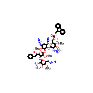 CCCCOC1C(N=[N+]=[N-])CC(N=[N+]=[N-])C(OC2OC(CNC(=O)OCC3c4ccccc4-c4ccccc43)C(OCCCC)C(OCCCC)C2N=[N+]=[N-])C1OC1OC(C(O)Cc2ccccc2)C(OC2OC(CN=[N+]=[N-])C(OCCCC)C(OCCCC)C2N)C1OCCCC